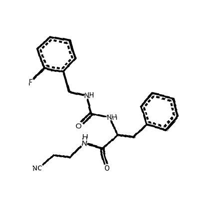 N#CCCNC(=O)C(Cc1ccccc1)NC(=O)NCc1ccccc1F